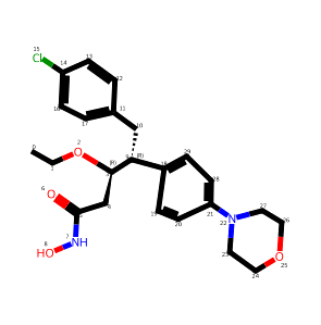 CCO[C@H](CC(=O)NO)[C@H](Cc1ccc(Cl)cc1)c1ccc(N2CCOCC2)cc1